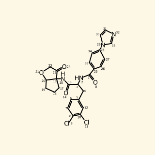 O=C(NC(Cc1ccc(Cl)c(Cl)c1)C(=O)NC12CCCC1OCC2=O)c1ccc(-n2ccnc2)cc1